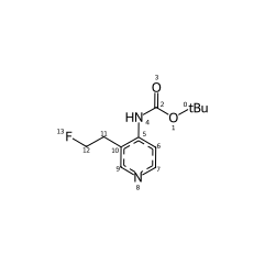 CC(C)(C)OC(=O)Nc1ccncc1CCF